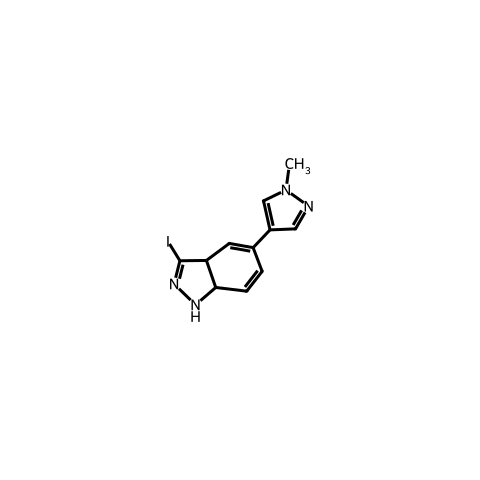 Cn1cc(C2=CC3C(I)=NNC3C=C2)cn1